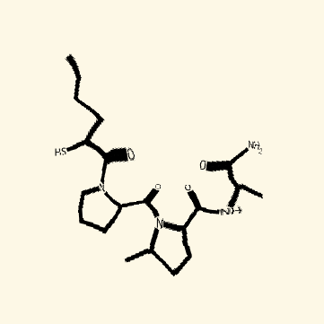 CCCCC(S)C(=O)N1CCCC1C(=O)N1C(C)CCC1C(=O)NC(C)C(N)=O